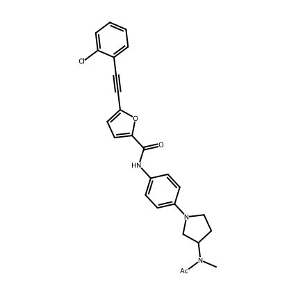 CC(=O)N(C)C1CCN(c2ccc(NC(=O)c3ccc(C#Cc4ccccc4Cl)o3)cc2)C1